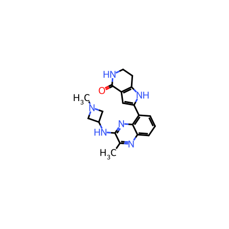 Cc1nc2cccc(-c3cc4c([nH]3)CCNC4=O)c2nc1NC1CN(C)C1